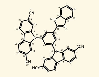 N#Cc1ccc2c3ccc(C#N)cc3n(-c3cc(-c4nc5ccccc5s4)cc(-n4c5cc(C#N)ccc5c5ccc(C#N)cc54)c3)c2c1